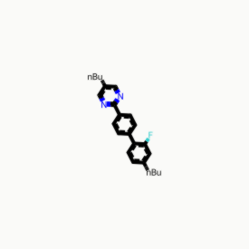 CCCCc1cnc(-c2ccc(-c3ccc(CCCC)cc3F)cc2)nc1